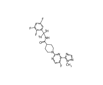 [2H]C([2H])(NC(=O)C1CCN(c2ncc(F)c(-c3ncnn3C)n2)CC1)c1cc(F)cc(F)c1F